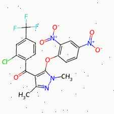 Cc1nn(C)c(Oc2ccc([N+](=O)[O-])cc2[N+](=O)[O-])c1C(=O)c1ccc(C(F)(F)F)cc1Cl